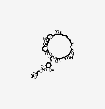 CO[C@H]1CC2CC[C@@H](C)[C@@](O)(O2)C(=O)C(=O)N2CCCCC2C(=O)O[C@H]([C@H](C)C[C@@H]2CC[C@@H](OC(=O)OCC3COC(C)(C)O3)[C@H](OC)C2)CC(=O)[C@H](C)/C=C(\C)[C@@H](O)[C@@H](OC)C(=O)[C@H](C)C[C@H](C)/C=C/C=C/C=C/1C